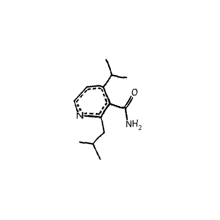 CC(C)Cc1nccc(C(C)C)c1C(N)=O